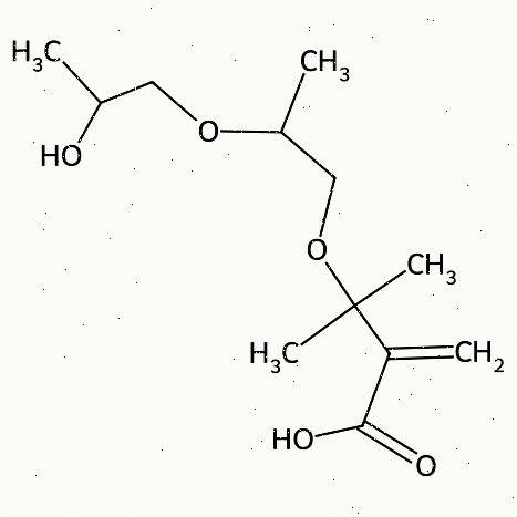 C=C(C(=O)O)C(C)(C)OCC(C)OCC(C)O